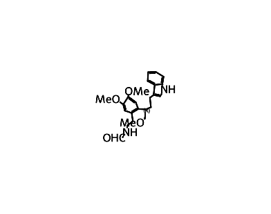 COC[C@H](CCc1c[nH]c2ccccc12)c1cc(OC)c(OC)cc1CCNC=O